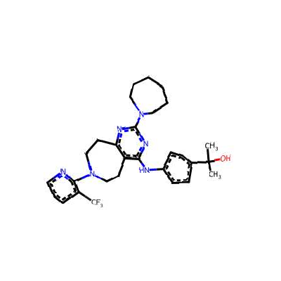 CC(C)(O)c1ccc(Nc2nc(N3CCCCCC3)nc3c2CCN(c2ncccc2C(F)(F)F)CC3)cc1